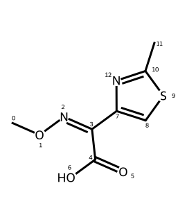 CO/N=C(\C(=O)O)c1csc(C)n1